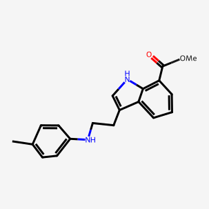 COC(=O)c1cccc2c(CCNc3ccc(C)cc3)c[nH]c12